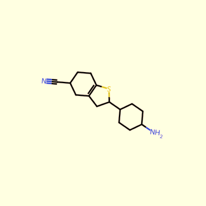 N#CC1CCC2=C(C1)CC(C1CCC(N)CC1)S2